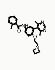 Cc1ccccc1C(=O)Nc1ccc(OCCN2CCC2)c(-c2c(C)ncnc2C)c1